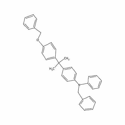 CC(C)(c1ccc(OCc2ccccc2)cc1)c1ccc(N(Cc2ccccc2)c2ccccc2)cc1